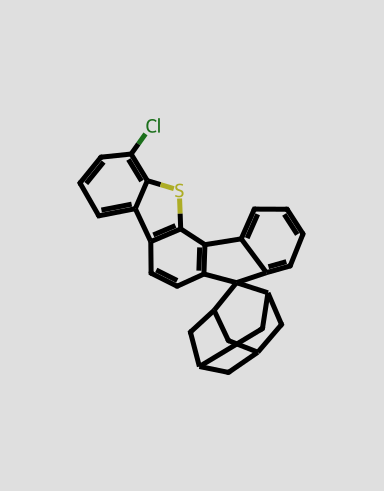 Clc1cccc2c1sc1c3c(ccc12)C1(c2ccccc2-3)C2CC3CC(C2)CC1C3